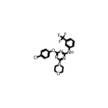 FC(F)(F)c1cccc(Nc2nc(Oc3ccc(Cl)cc3)nc(N3CCOCC3)n2)c1